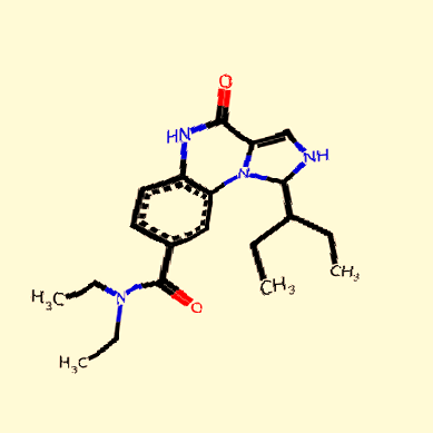 CCC(CC)C1NC=C2C(=O)Nc3ccc(C(=O)N(CC)CC)cc3N21